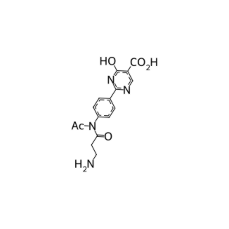 CC(=O)N(C(=O)CCN)c1ccc(-c2ncc(C(=O)O)c(O)n2)cc1